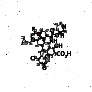 O=C(O)c1ccc([C@@H](Cc2c(Cl)c[n+]([O-])cc2Cl)c2ccc(OC(F)F)c(OCC3CC3)c2)c(CNC(C(=O)O[C@H]2CN3CCC2CC3)c2ccccc2)c1O